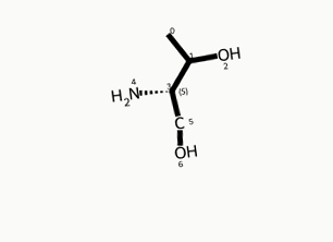 CC(O)[C@@H](N)CO